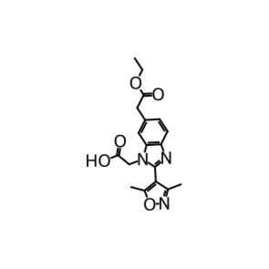 CCOC(=O)Cc1ccc2nc(-c3c(C)noc3C)n(CC(=O)O)c2c1